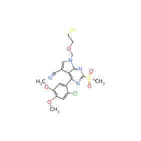 COc1cc(Cl)c(-c2nc(S(C)(=O)=O)nc3c2c(C#N)cn3COCCS)cc1OC